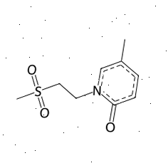 Cc1ccc(=O)n(CCS(C)(=O)=O)c1